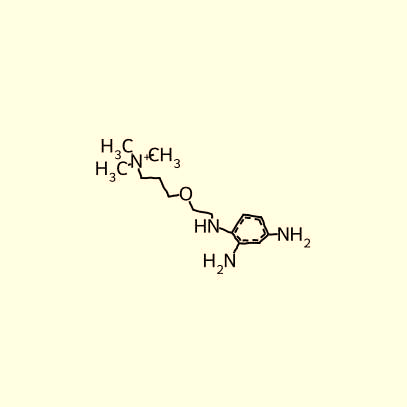 C[N+](C)(C)CCCOCCNc1ccc(N)cc1N